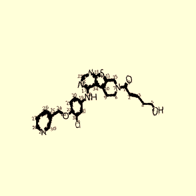 O=C(/C=C/CCO)N1CCc2c(sc3ncnc(Nc4ccc(OCc5cccnc5)c(Cl)c4)c23)C1